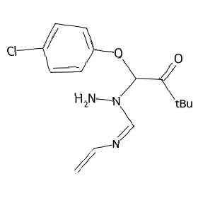 C=C/N=C\N(N)C(Oc1ccc(Cl)cc1)C(=O)C(C)(C)C